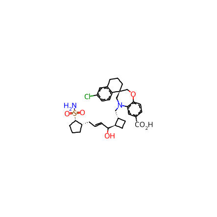 NS(=O)(=O)[C@H]1CCC[C@H]1C/C=C/C(O)[C@@H]1CC[C@H]1CN1C[C@@]2(CCCc3cc(Cl)ccc32)COc2ccc(C(=O)O)cc21